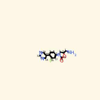 NCC1CN(c2ccc(-c3cncnc3)c(F)c2)C(=O)O1